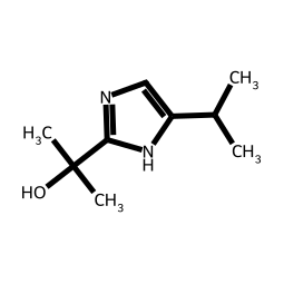 CC(C)c1cnc(C(C)(C)O)[nH]1